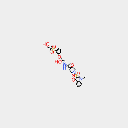 CCn1cc(S(=O)(=O)N2CCC3(CC2)C[C@@H](NCC(O)COc2cccc(S(=O)(=O)C(C)(C)CO)c2)CO3)c(=O)c2ccccc21